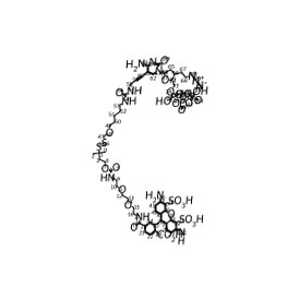 CC(C)(CCOC(=O)NCCOCCOCCNC(=O)c1ccc(C(=O)O)c(-c2c3ccc(=N)c(S(=O)(=O)O)c-3oc3c(S(=O)(=O)O)c(N)ccc23)c1)SSCOCCCCCNC(=O)NCC#Cc1cn([C@H]2CC(CCN=[N+]=[N-])[C@@H](COP(=O)(O)OP(=O)(O)OP(=O)(O)O)O2)c(=O)nc1N